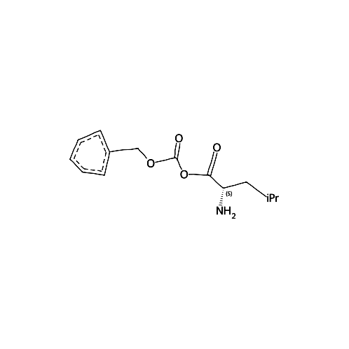 CC(C)C[C@H](N)C(=O)OC(=O)OCc1ccccc1